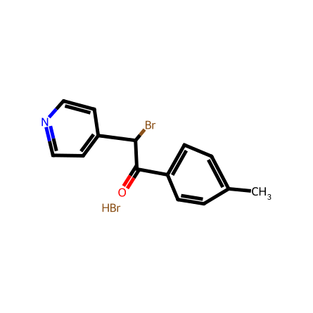 Br.Cc1ccc(C(=O)C(Br)c2ccncc2)cc1